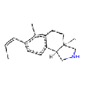 C/C=C\c1ccc2c(c1C)CC[C@@]1(C)CNC[C@@H]21